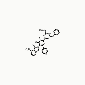 Cn1c(NC[C@H](Cc2ccccc2)NC(=O)OC(C)(C)C)nc(-c2ccncc2)c(N2Cc3cccc([N+](=O)[O-])c3C2=O)c1=O